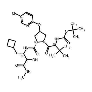 CNC(=O)C(O)[C@H](CC1CCC1)NC(=O)[C@@H]1CC(Oc2ccc(Cl)cn2)CN1C(=O)[C@@H](NC(=O)OC(C)(C)C)C(C)(C)C